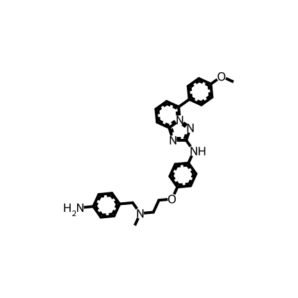 COc1ccc(-c2cccc3nc(Nc4ccc(OCCN(C)Cc5ccc(N)cc5)cc4)nn23)cc1